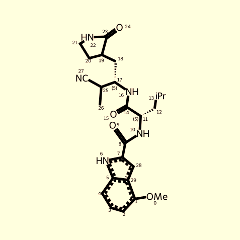 COc1cccc2[nH]c(C(=O)N[C@@H](CC(C)C)C(=O)N[C@@H](CC3CCNC3=O)C(C)C#N)cc12